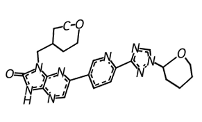 O=c1[nH]c2ncc(-c3ccc(-c4ncn(C5CCCCO5)n4)nc3)nc2n1CC1CCOCC1